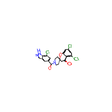 O=C1CC2(CCN(C(=O)c3cc(Cl)c4[nH]ncc4c3)CC2)Oc2cc(Cl)cc(Cl)c21